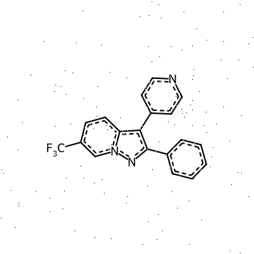 FC(F)(F)c1ccc2c(-c3ccncc3)c(-c3ccccc3)nn2c1